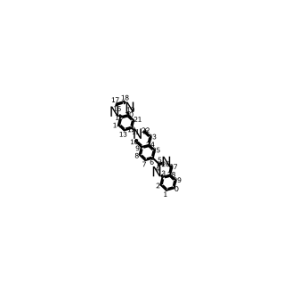 c1ccc2nc(-c3ccc4c[n+](-c5ccc6nccnc6c5)ccc4c3)ncc2c1